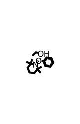 CC1(C)CCCC(C)(C)N1Oc1ccccc1.CCO